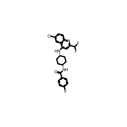 O=C(N[C@H]1CC[C@@H](Nc2cc(C(F)F)nc3ccc(Cl)cc23)CC1)c1ccc(F)cc1